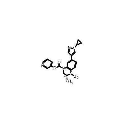 CC(=O)N1c2ccc(-c3cnn(C4CC4)c3)cc2N(C(=O)Oc2cccnc2)C[C@@H]1C